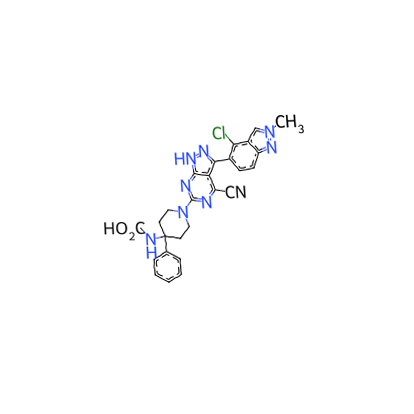 Cn1cc2c(Cl)c(-c3n[nH]c4nc(N5CCC(NC(=O)O)(c6ccccc6)CC5)nc(C#N)c34)ccc2n1